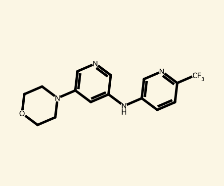 FC(F)(F)c1ccc(Nc2cncc(N3CCOCC3)c2)cn1